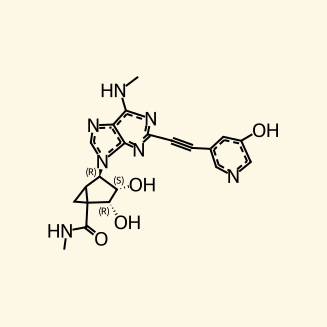 CNC(=O)C12CC1[C@@H](n1cnc3c(NC)nc(C#Cc4cncc(O)c4)nc31)[C@H](O)[C@@H]2O